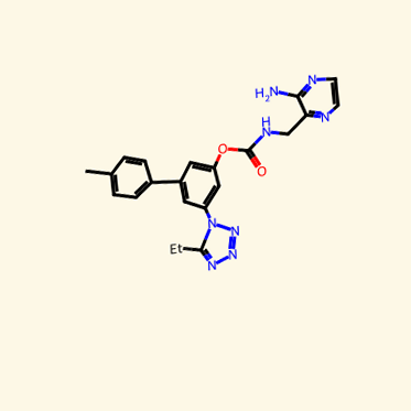 CCc1nnnn1-c1cc(OC(=O)NCc2nccnc2N)cc(-c2ccc(C)cc2)c1